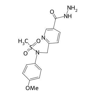 COc1ccc(N(Cc2ccc(C(=O)NN)cn2)S(C)(=O)=O)cc1